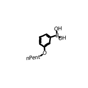 CCCCCOc1cccc(B(O)O)c1